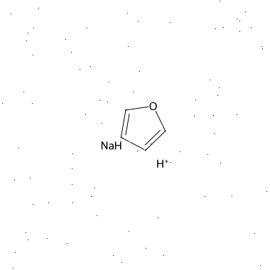 [H+].[NaH].c1ccoc1